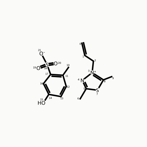 C=CC[n+]1nc(C)sc1C.Cc1ccc(O)cc1S(=O)(=O)[O-]